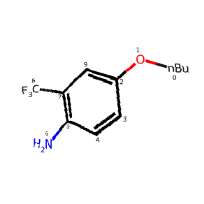 CCCCOc1ccc(N)c(C(F)(F)F)c1